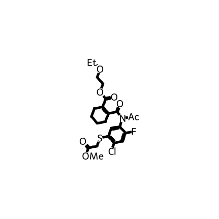 CCOCCOC(=O)C1=C(C(=O)N(C(C)=O)c2cc(SCC(=O)OC)c(Cl)cc2F)CCCC1